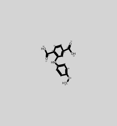 COc1ccc(Nc2cc(C(=O)O)ccc2C(=O)O)cc1